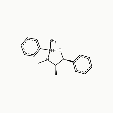 B[PH]1(c2ccccc2)O[C@@H](c2ccccc2)[C@@H](C)N1C